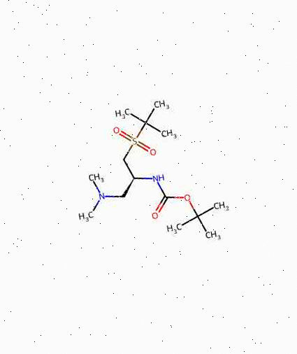 CN(C)C[C@@H](CS(=O)(=O)C(C)(C)C)NC(=O)OC(C)(C)C